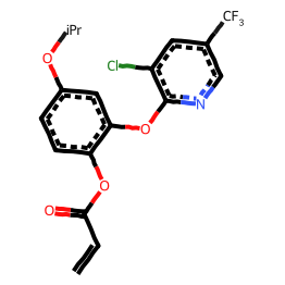 C=CC(=O)Oc1ccc(OC(C)C)cc1Oc1ncc(C(F)(F)F)cc1Cl